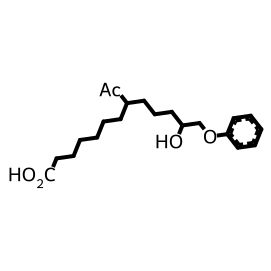 CC(=O)C(CCCCCCC(=O)O)CCCC(O)COc1ccccc1